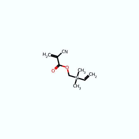 C=C[Si](C)(C)COC(=O)C(=C)C#N